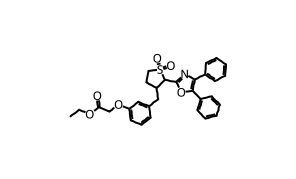 CCOC(=O)COc1cccc(CC2CCS(=O)(=O)C2c2nc(-c3ccccc3)c(-c3ccccc3)o2)c1